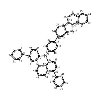 c1ccc(-c2ccc(N(c3ccc(-c4ccc5c(c4)sc4c6ccccc6ccc54)cc3)c3ccc(-c4ccccc4)c4ccccc34)cc2)cc1